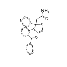 NC(=O)CC1(c2ccncc2)SC=CN1c1ccccc1C(=O)c1ccccc1